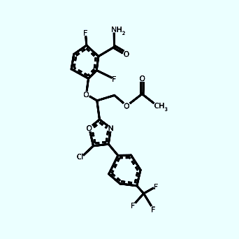 CC(=O)OCC(Oc1ccc(F)c(C(N)=O)c1F)c1nc(-c2ccc(C(F)(F)F)cc2)c(Cl)o1